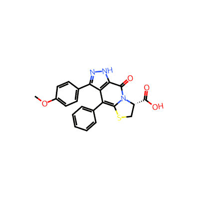 COc1ccc(-c2n[nH]c3c(=O)n4c(c(-c5ccccc5)c23)SC[C@H]4C(=O)O)cc1